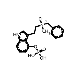 C[N+](C)(CCc1c[nH]c2cccc(OP(=O)(O)O)c12)Cc1ccccc1